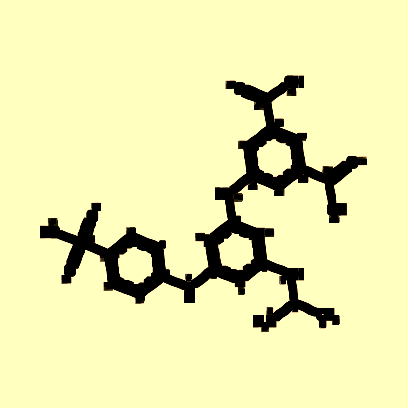 CC(N)Nc1nc(Nc2ccc(S(=O)(=O)O)cc2)nc(Nc2cc(C(=O)O)cc(C(=O)O)c2)n1